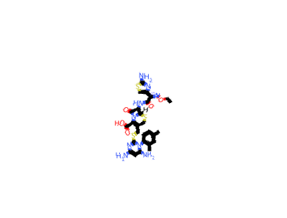 CCO/N=C(\C(=O)NC1C(=O)N2C(C(=O)O)=C(CSC3=NC(N)=CC(N)N3c3ccc(C)cc3C)CS[C@@H]12)c1csc(N)n1